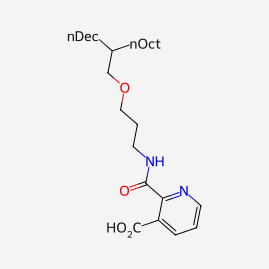 CCCCCCCCCCC(CCCCCCCC)COCCCNC(=O)c1ncccc1C(=O)O